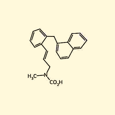 CN(C/C=C/c1ccccc1Cc1cccc2ccccc12)C(=O)O